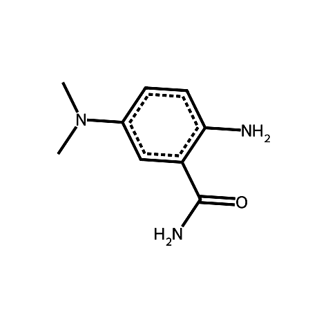 CN(C)c1ccc(N)c(C(N)=O)c1